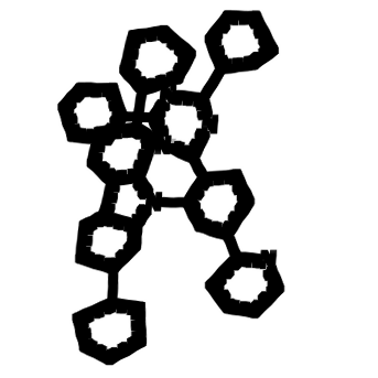 c1ccc(-c2ccc3c4ccc(-c5ccccc5)cc4n(-c4cc(-c5ccccn5)ccc4-c4nc(-c5ccccc5)nc(-c5ccccc5)n4)c3c2)cc1